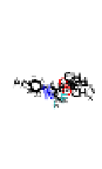 CC(=O)c1ccc(-n2cc(B3OC(C)(C)C(C)(C)O3)c(C(F)F)n2)cc1